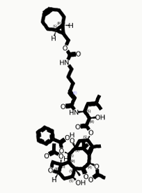 CC(=O)O[C@H]1C(=O)[C@@]2(C)[C@H]([C@H](OC(=O)c3ccccc3)[C@]3(O)C[C@H](OC(=O)[C@H](O)[C@H](C=C(C)C)NC(=O)/C=C/CCCNC(=O)OCC4[C@H]5CCC#CCC[C@@H]45)C(C)=C1C3(C)C)[C@]1(OC(C)=O)CO[C@@H]1C[C@@H]2O